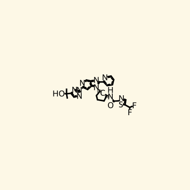 CC(C)(O)c1cnn(-c2cc3c(cn2)nc(-c2ccccn2)n3[C@@H]2CCC[C@H](NC(=O)c3ncc(C(F)F)s3)C2)n1